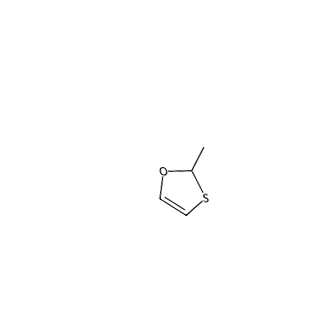 CC1OC=CS1